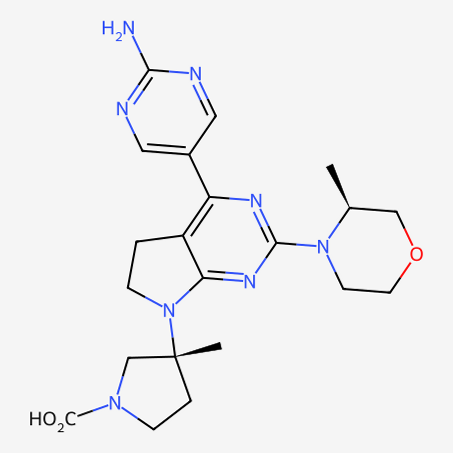 C[C@H]1COCCN1c1nc(-c2cnc(N)nc2)c2c(n1)N([C@]1(C)CCN(C(=O)O)C1)CC2